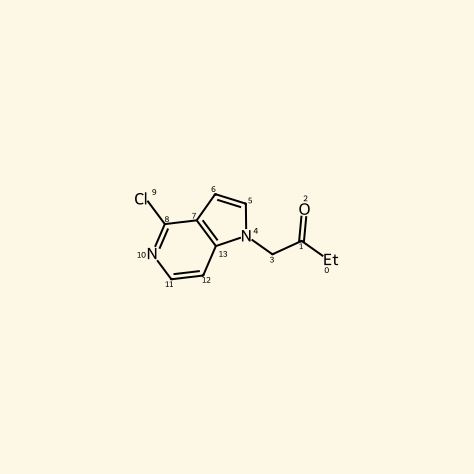 CCC(=O)Cn1ccc2c(Cl)nccc21